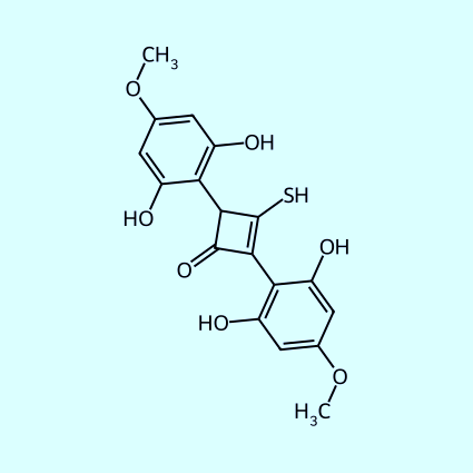 COc1cc(O)c(C2=C(S)C(c3c(O)cc(OC)cc3O)C2=O)c(O)c1